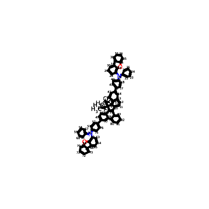 CC(C)(C)C1(C(C)(C)C)c2c(ccc3cc(-c4ccc(N(c5ccccc5)c5cccc6c5oc5ccccc56)cc4)ccc23)-c2c1c1ccc(-c3ccc(N(c4ccccc4)c4cccc5c4oc4ccccc45)cc3)cc1c1ccccc21